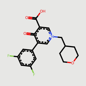 O=C(O)c1cn(CC2CCOCC2)cc(-c2cc(F)cc(F)c2)c1=O